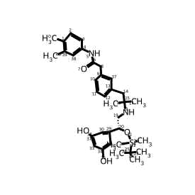 Cc1ccc(NC(=O)Cc2cccc(CC(C)(C)NC[C@H](O[Si](C)(C)C(C)(C)C)c3cc(O)cc(O)c3)c2)cc1C